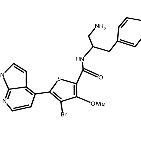 COc1c(C(=O)NC(CN)Cc2ccccc2)sc(-c2ccnc3[nH]ccc23)c1Br